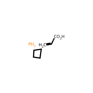 C1CCC1.C=CC(=O)O.P